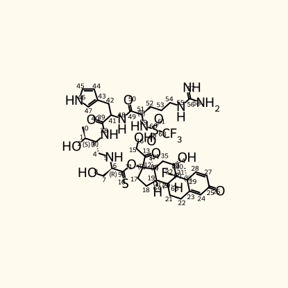 C[C@H](O)[C@@H](CN[C@H](CO)C(=S)O[C@]1(C(=O)CO)CC[C@H]2[C@@H]3CCC4=CC(=O)C=C[C@]4(C)[C@@]3(F)[C@@H](O)C[C@@]21C)NC(=O)C(Cc1cc[nH]c1)NC(=O)[C@@H](CCCNC(=N)N)NS(=O)(=O)C(F)(F)F